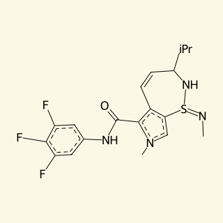 C/N=S1/NC(C(C)C)C=Cc2c1cn(C)c2C(=O)Nc1cc(F)c(F)c(F)c1